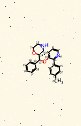 Cc1ccc(-c2ncccc2O[C@@H](c2ccccc2)[C@@H]2CNCCO2)cc1